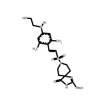 CCCCCCCCCC1=NC2(CCN(S(=O)(=O)C=Cc3c(C)cc(N(CCO)C(C)=O)cc3C)CC2)C(=O)N1